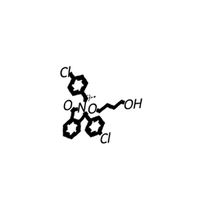 C[C@@H](c1ccc(Cl)cc1)N1C(=O)c2ccccc2C1(OCCCCO)c1ccc(Cl)cc1